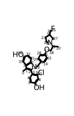 Cc1c(-c2ccc(O)cc2Cl)n(Cc2ccc(OCC(C)N3CCC(CF)C3)cc2)c2ccc(O)cc12